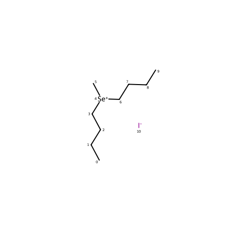 CCCC[Se+](C)CCCC.[I-]